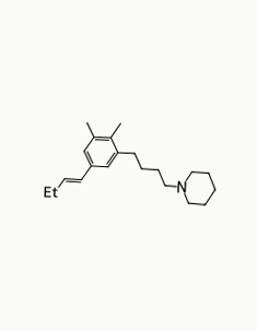 CC/C=C/c1cc(C)c(C)c(CCCCN2CCCCC2)c1